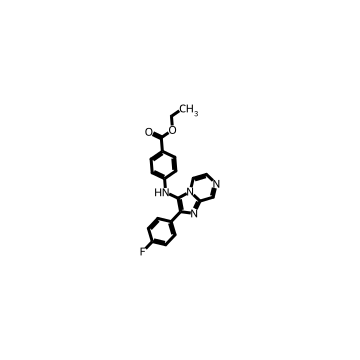 CCOC(=O)c1ccc(Nc2c(-c3ccc(F)cc3)nc3cnccn23)cc1